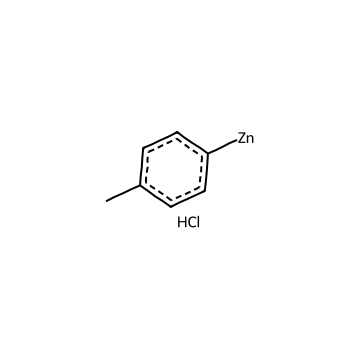 Cc1cc[c]([Zn])cc1.Cl